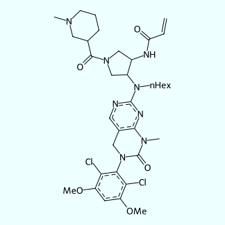 C=CC(=O)NC1CN(C(=O)C2CCCN(C)C2)CC1N(CCCCCC)c1ncc2c(n1)N(C)C(=O)N(c1c(Cl)c(OC)cc(OC)c1Cl)C2